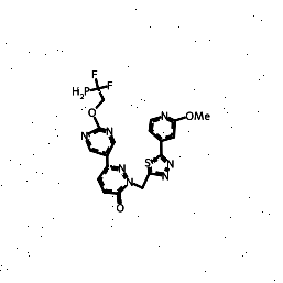 COc1cc(-c2nnc(Cn3nc(-c4cnc(OCC(F)(F)P)nc4)ccc3=O)s2)ccn1